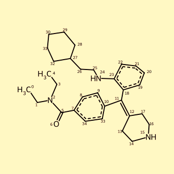 CCN(CC)C(=O)c1ccc(C(=C2CCNCC2)c2ccccc2NCCC2CCCCC2)cc1